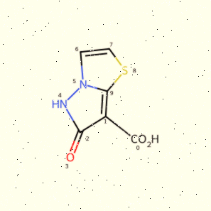 O=C(O)c1c(=O)[nH]n2ccsc12